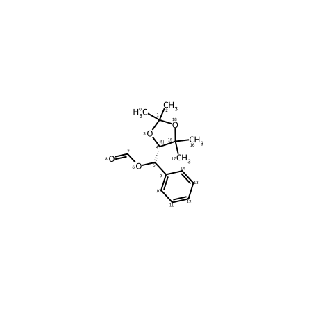 CC1(C)O[C@@H](C(OC=O)c2ccccc2)C(C)(C)O1